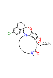 CN1CCCCCCCN2C[C@@]3(CCCc4cc(Cl)ccc43)COc3ccc(cc32)[C@](O)(CC(=O)O)CC1=O